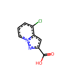 O=C(O)c1cc2c(Cl)cccn2n1